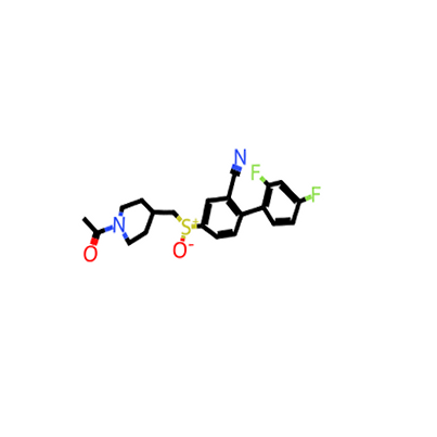 CC(=O)N1CCC(C[S+]([O-])c2ccc(-c3ccc(F)cc3F)c(C#N)c2)CC1